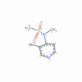 CN(c1ccncc1C(C)(C)C)S(C)(=O)=O